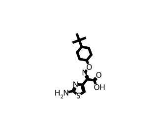 CC(C)(C)C1CCC(ON=C(C(=O)O)c2csc(N)n2)CC1